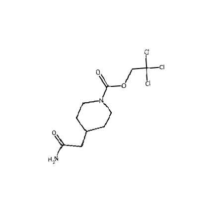 NC(=O)CC1CCN(C(=O)OCC(Cl)(Cl)Cl)CC1